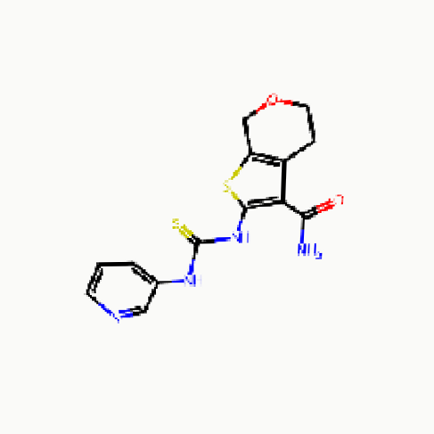 NC(=O)c1c(NC(=S)Nc2cccnc2)sc2c1CCOC2